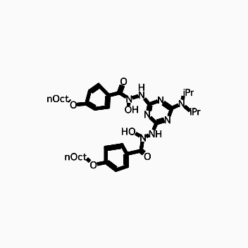 CCCCCCCCOc1ccc(C(=O)N(O)Nc2nc(NN(O)C(=O)c3ccc(OCCCCCCCC)cc3)nc(N(C(C)C)C(C)C)n2)cc1